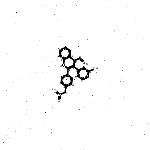 O=[SH](=O)Cc1ccc(C2=C(c3cccc(F)c3)C(C=S)c3ccccc3O2)cc1